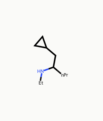 CCCC(CC1CC1)NCC